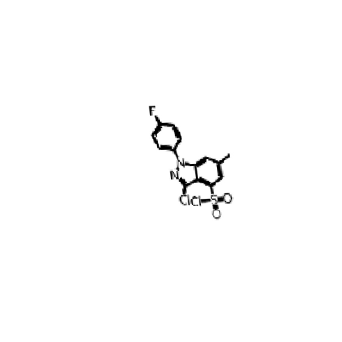 Cc1cc(S(=O)(=O)Cl)c2c(Cl)nn(-c3ccc(F)cc3)c2c1